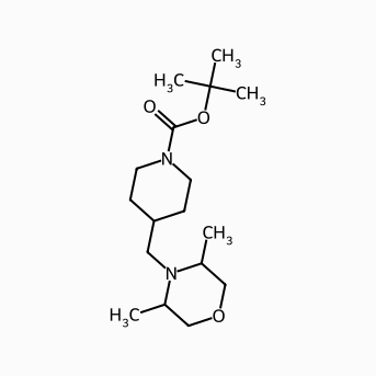 CC1COCC(C)N1CC1CCN(C(=O)OC(C)(C)C)CC1